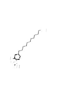 CCCCCCCCCCCCc1ccc(S(=O)(=O)O)c(F)c1